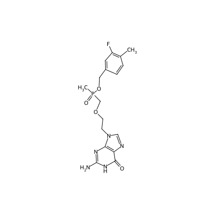 Cc1ccc(COP(C)(=O)COCCn2cnc3c(=O)[nH]c(N)nc32)cc1F